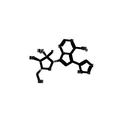 C[C@@]1(F)[C@H](O)[C@@H](CO)O[C@H]1c1cc(-c2cnn[nH]2)c2c(N)ncnn12